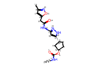 CCCNC(=O)O[C@H]1CC[C@@H](c2cc(NC(=O)Cc3cc(C)no3)n[nH]2)C1